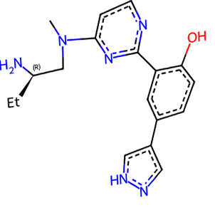 CC[C@@H](N)CN(C)c1ccnc(-c2cc(-c3cn[nH]c3)ccc2O)n1